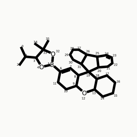 CC(C)C1OB(C2=CC3C(CC2)OC2CCCCC2C32C3CCC=CC3C3CCCCC32)OC1(C)C